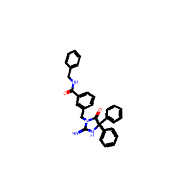 N=C1NC(c2ccccc2)(c2ccccc2)C(=O)N1Cc1cccc(C(=O)NCc2ccccc2)c1